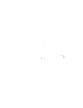 Cn1nccc1-c1cc(NC(=O)Cc2ccc(Cl)cc2)ccc1OCCN